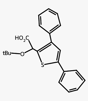 CC(C)(C)OC(C(=O)O)c1sc(-c2ccccc2)cc1-c1ccccc1